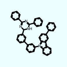 c1ccc(C2=NC(c3cccc(-c4cccc(-n5c6ccccc6c6cc(-c7ccccc7)ccc65)c4)c3)NC(c3ccccc3)=N2)cc1